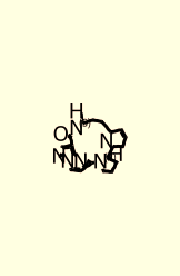 C[C@H]1CCC2=NC(CC=C2)[C@H]2CCCN2c2ccn3ncc(c3n2)C(=O)N1